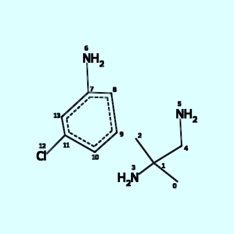 CC(C)(N)CN.Nc1cccc(Cl)c1